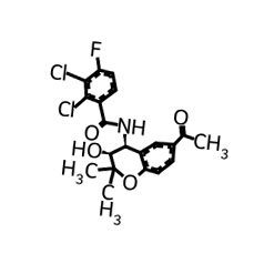 CC(=O)c1ccc2c(c1)[C@H](NC(=O)c1ccc(F)c(Cl)c1Cl)[C@H](O)C(C)(C)O2